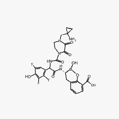 NC1(CN2CCN(C(=O)NC(C(=O)N[C@H]3Cc4cccc(C(=O)O)c4OB3O)c3cc(F)c(O)c(F)c3F)C(=O)C2=O)CC1